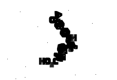 Cc1cc(CNc2ccc(C3CCN(C(=O)C4CC4)CC3)cc2)c(-c2cccc(-n3ncc(C(=O)O)c3C)n2)s1